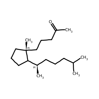 CC(=O)CCC[C@@]1(C)CCCC1[C@H](C)CCCC(C)C